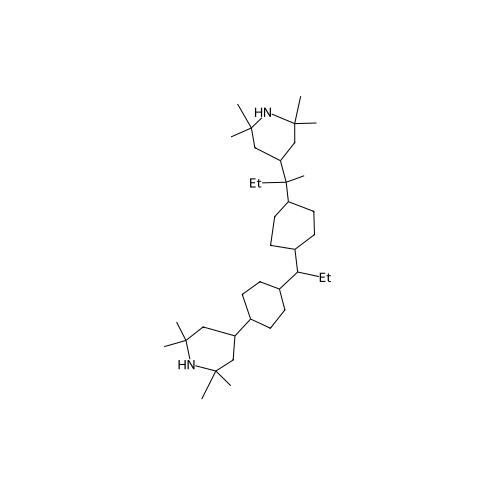 CCC(C1CCC(C2CC(C)(C)NC(C)(C)C2)CC1)C1CCC(C(C)(CC)C2CC(C)(C)NC(C)(C)C2)CC1